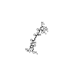 CC(C)CN(C(=O)CONC(=O)CCCC(=O)NOC1CC(C)N(CC(C)C)C1=O)C(C)C